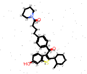 CC1CCCCC1c1sc2cc(O)ccc2c1C(=O)c1ccc(CCCC(=O)N2CCCCC2)cc1